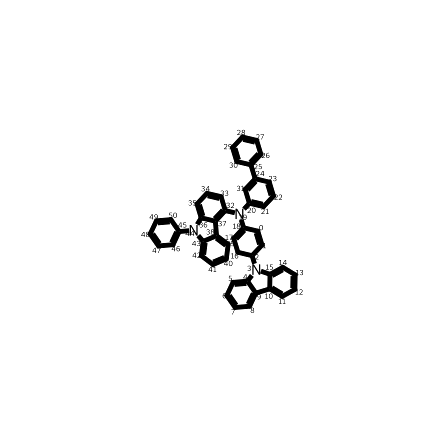 C1=CC(n2c3ccccc3c3ccccc32)CC=C1N(c1cccc(-c2ccccc2)c1)c1cccc2c1c1ccccc1n2-c1ccccc1